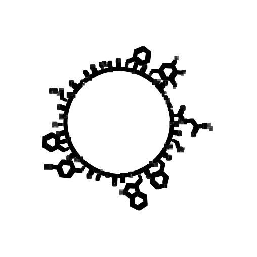 CCCC[C@H]1C(=O)N(C)CC(=O)N[C@@H](CC(=O)O)C(=O)N[C@@H](C(C)C)C(=O)N(C)[C@@H](Cc2ccccc2)C(=O)N[C@@H](Cc2ccc(O)cc2)C(=O)N(C)CC(=O)NC[C@@H](Cc2c[nH]c3ccccc23)C(=O)N[C@H](Cc2cccnc2)C(=O)N[C@@H](CC(C)C)C(=O)N[C@H](C(=O)NCC(N)=O)CSCC(=O)N[C@@H](Cc2cc(F)c(F)c(F)c2)C(=O)N(C)[C@@H](Cc2ccccc2)C(=O)N1C